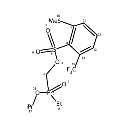 CCP(=O)(COS(=O)(=O)c1c(SC)cccc1C(F)(F)F)OC(C)C